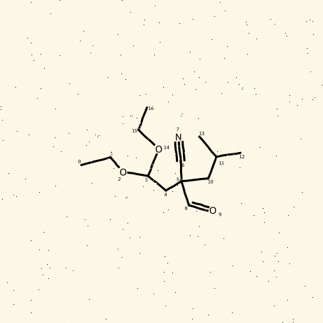 CCOC(CC(C#N)(C=O)CC(C)C)OCC